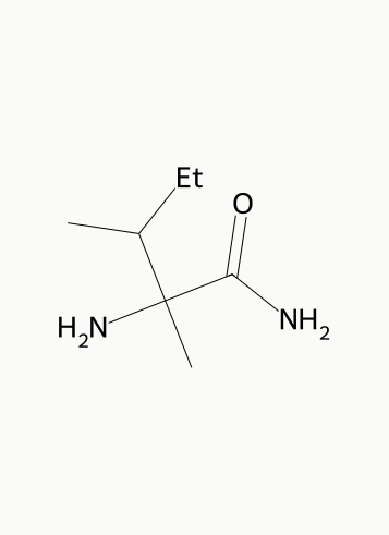 CCC(C)C(C)(N)C(N)=O